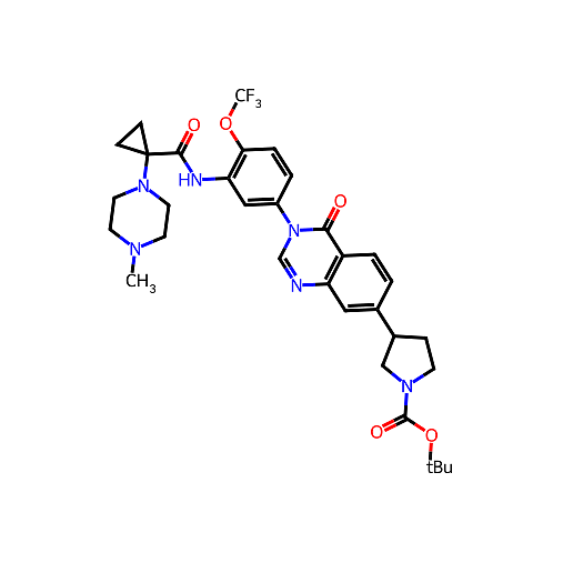 CN1CCN(C2(C(=O)Nc3cc(-n4cnc5cc(C6CCN(C(=O)OC(C)(C)C)C6)ccc5c4=O)ccc3OC(F)(F)F)CC2)CC1